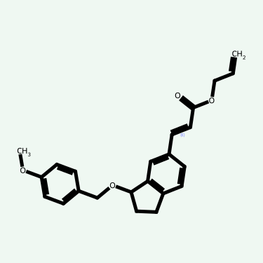 C=CCOC(=O)/C=C/c1ccc2c(c1)C(OCc1ccc(OC)cc1)CC2